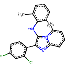 Cc1cccc(C)c1Nc1c(-c2ccc(F)cc2Cl)nc2cccc(C(F)(F)F)n12